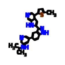 Cc1ccc(-c2cncc3[nH]c(-c4n[nH]c5ccc(-c6cncc(NC(C)C)c6)cc45)cc23)s1